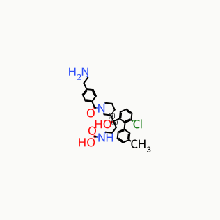 Cc1cccc(-c2c(Cl)cccc2[C@](O)(CCCNC(=O)O)[C@@H]2CCCN(C(=O)c3ccc(CCN)cc3)C2)c1